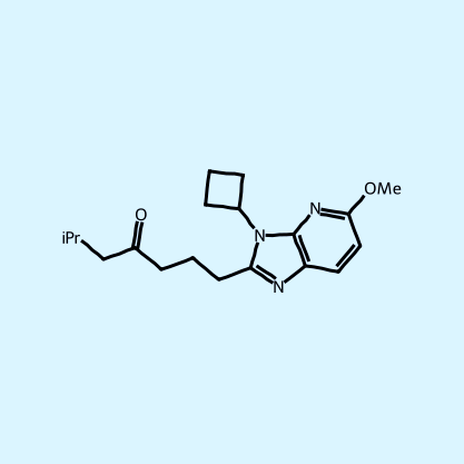 COc1ccc2nc(CCCC(=O)CC(C)C)n(C3CCC3)c2n1